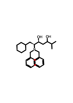 CC(C)C(O)C[C@H](O)[C@H](CC1CCCCC1)N(Cc1ccccc1)Cc1ccccc1